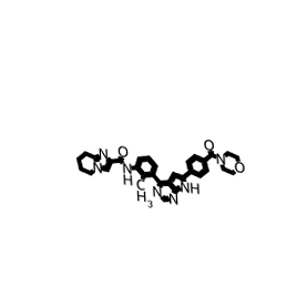 Cc1c(NC(=O)c2cn3c(n2)CCCC3)cccc1-c1ncnc2[nH]c(-c3ccc(C(=O)N4CCOCC4)cc3)cc12